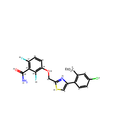 CCOC(=O)c1cc(Cl)ccc1-c1csc(COc2ccc(F)c(C(N)=O)c2F)n1